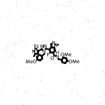 CCn1nc(C)cc1-c1nnc(-c2c(F)c(C(=O)NCc3ccc(OC)cc3OC)cc3c2cnn3C)n1Cc1ccc(OC)cc1